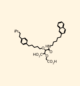 CC(C)CCc1ccc(CCCCCOC(C(=O)NCCCCCc2ccc3ccccc3c2)C(OCC(=O)O)C(=O)O)cc1